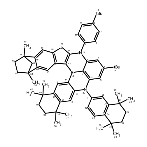 CC(C)(C)c1ccc(N2c3cc(C(C)(C)C)cc4c3B(c3cc5c(cc3N4c3ccc4c(c3)C(C)(C)CCC4(C)C)C(C)(C)CCC5(C)C)c3c2sc2cc4c(cc32)C2(C)CCC4(C)C2)cc1